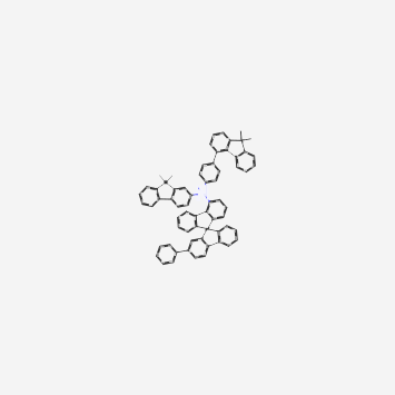 CC1(C)c2ccccc2-c2ccc(N(c3ccc(-c4cccc5c4-c4ccccc4C5(C)C)cc3)c3cccc4c3-c3ccccc3C43c4ccccc4-c4ccc(-c5ccccc5)cc43)cc21